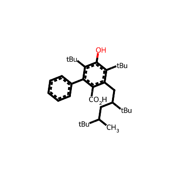 CC(CC(Cc1c(C(=O)O)c(-c2ccccc2)c(C(C)(C)C)c(O)c1C(C)(C)C)C(C)(C)C)C(C)(C)C